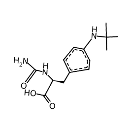 CC(C)(C)Nc1ccc(C[C@H](NC(N)=O)C(=O)O)cc1